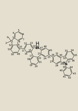 CC1(C)c2ccccc2-c2c(-c3ccc4c(c3)-c3ccccc3-c3cc(-c5ccc6c(c5)c5ccccc5n6-c5ccccc5)ccc3N4)cccc21